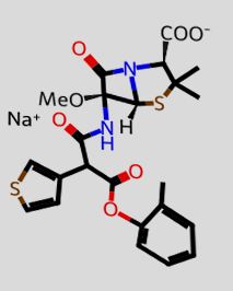 CO[C@@]1(NC(=O)C(C(=O)Oc2ccccc2C)c2ccsc2)C(=O)N2[C@@H](C(=O)[O-])C(C)(C)S[C@@H]21.[Na+]